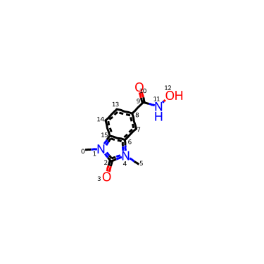 Cn1c(=O)n(C)c2cc(C(=O)NO)ccc21